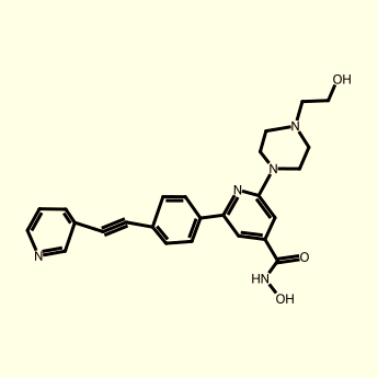 O=C(NO)c1cc(-c2ccc(C#Cc3cccnc3)cc2)nc(N2CCN(CCO)CC2)c1